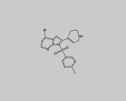 Cc1ccc(S(=O)(=O)n2c(C3=CCNCC3)cc3c(Br)ccnc32)cc1